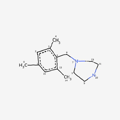 Cc1cc(C)c(CN2CC[N]CC2)c(C)c1